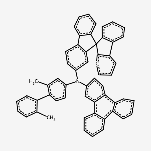 Cc1ccccc1-c1ccc(N(c2ccc3c(c2)C2(c4ccccc4-c4ccccc42)c2ccccc2-3)c2ccc3c4ccccc4c4ccccc4c3c2)cc1C